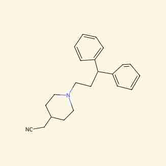 N#CCC1CCN(CCC(c2ccccc2)c2ccccc2)CC1